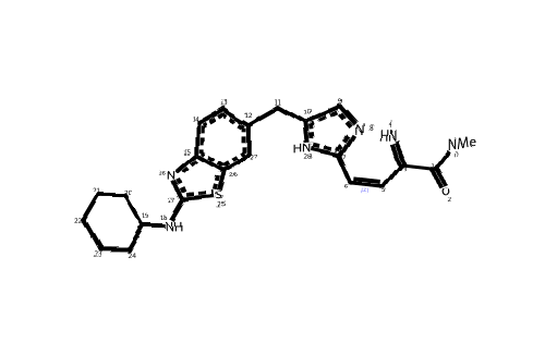 CNC(=O)C(=N)/C=C\c1ncc(Cc2ccc3nc(NC4CCCCC4)sc3c2)[nH]1